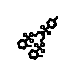 Cc1ccc(S(=O)(=O)N(CCOS(=O)(=O)c2ccccc2C)CCOS(=O)(=O)c2ccccc2C)cc1